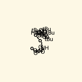 CC(C)(C)C(=O)OC[C@H]1O[C@@H](Oc2n[nH]c3cccc(C#Cc4ccc(C=CCC(=O)NC(C)(C)C(=O)N5CCN(C(=O)OCc6ccccc6)CC5)cc4)c23)[C@H](OC(=O)C(C)(C)C)[C@@H](OC(=O)C(C)(C)C)[C@@H]1OC(=O)C(C)(C)C